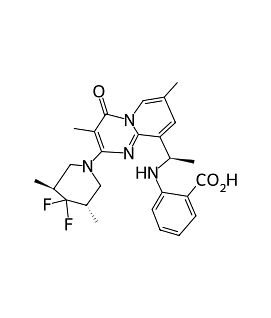 Cc1cc([C@@H](C)Nc2ccccc2C(=O)O)c2nc(N3C[C@H](C)C(F)(F)[C@@H](C)C3)c(C)c(=O)n2c1